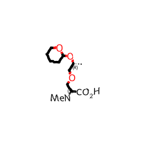 CN[C@@H](COC[C@@H](C)OC1CCCCO1)C(=O)O